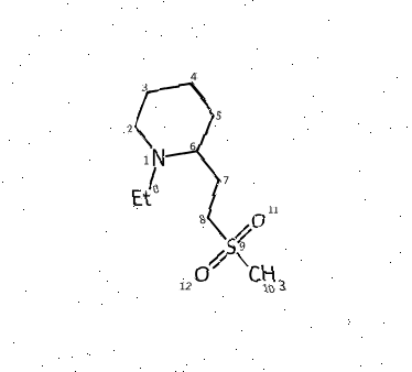 [CH2]CN1CCCCC1CCS(C)(=O)=O